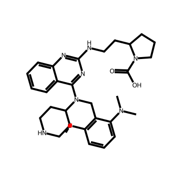 COc1cccc(N(C)C)c1CN(c1nc(NCCC2CCCN2C(=O)O)nc2ccccc12)C1CCNCC1